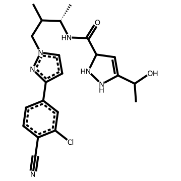 CC(O)C1=CC(C(=O)N[C@@H](C)C(C)Cn2ccc(-c3ccc(C#N)c(Cl)c3)n2)NN1